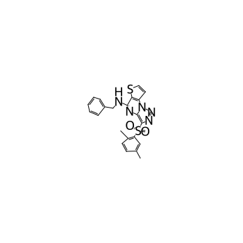 Cc1ccc(C)c(S(=O)(=O)c2nnn3c2nc(NCc2ccccc2)c2sccc23)c1